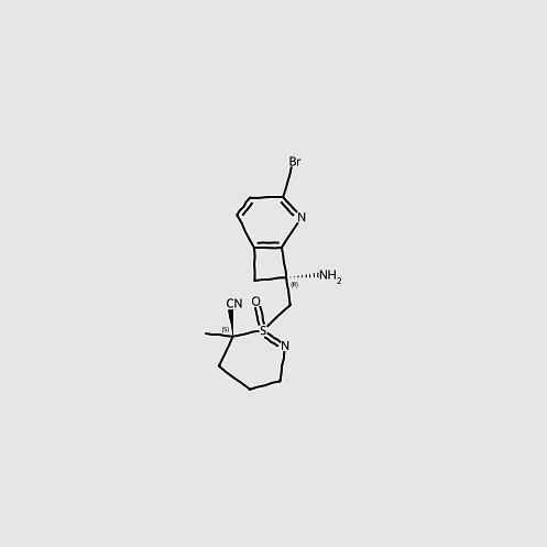 C[C@@]1(C#N)CCCN=S1(=O)C[C@@]1(N)Cc2ccc(Br)nc21